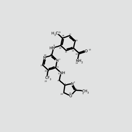 CC1=NC(CNc2nc(Nc3cc(C(N)=O)ccc3C)ncc2C(F)(F)F)CO1